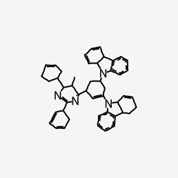 CC1C(C2C=C(N3c4ccccc4C4CCC=CC43)CC(N3c4ccccc4C4C=CC=CC43)C2)=NC(C2C=CC=CC2)=NC1C1CC=CCC1